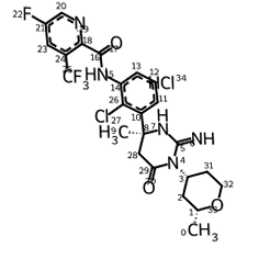 C[C@@H]1C[C@H](N2C(=N)N[C@](C)(c3cccc(NC(=O)c4ncc(F)cc4C(F)(F)F)c3Cl)CC2=O)CCO1.Cl